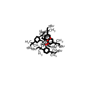 CC(C)(C)CC(C)(C)c1ccc(C(C)(C)CC(C)(C)C)c([SiH](O[SiH](c2cc(C(C)(C)CC(C)(C)C)ccc2C(C)(C)CC(C)(C)C)c2cc(C(C)(C)CC(C)(C)C)ccc2C(C)(C)CC(C)(C)C)c2cc(C(C)(C)CC(C)(C)C)ccc2C(C)(C)CC(C)(C)C)c1